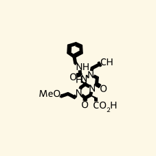 C#CCN1CC(=O)N2[C@@H](CC(=O)O)C(=O)N(CCCOC)C[C@@H]2N1C(=O)NCc1ccccc1